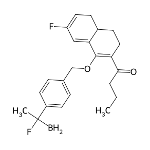 BC(C)(F)c1ccc(COC2=C(C(=O)CCC)CCC3CC=C(F)C=C23)cc1